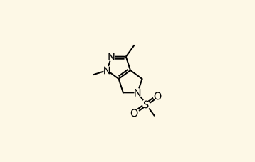 Cc1nn(C)c2c1CN(S(C)(=O)=O)C2